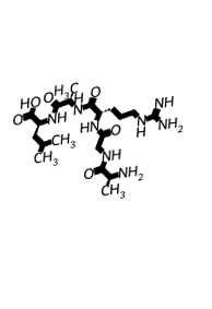 CC(C)C[C@H](NC(=O)[C@H](C)NC(=O)[C@H](CCCNC(=N)N)NC(=O)CNC(=O)[C@H](C)N)C(=O)O